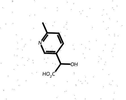 Cc1ccc(C(O)C(=O)O)cn1